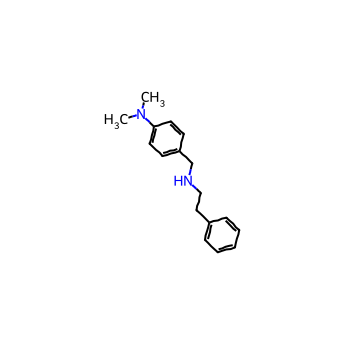 CN(C)c1ccc(CNCCc2ccccc2)cc1